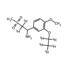 [2H]C([2H])([2H])C([2H])([2H])Oc1cc(C(N)C([2H])([2H])S(C)(=O)=O)ccc1OC